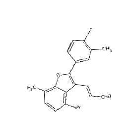 Cc1cc(-c2oc3c(C)ccc(C(C)C)c3c2C=CC=O)ccc1F